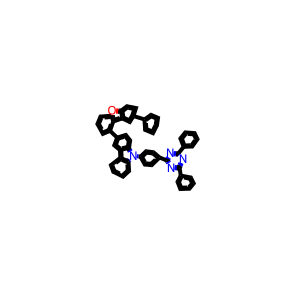 c1ccc(-c2ccc3oc4cccc(-c5ccc6c(c5)c5ccccc5n6-c5ccc(-c6nc(-c7ccccc7)nc(-c7ccccc7)n6)cc5)c4c3c2)cc1